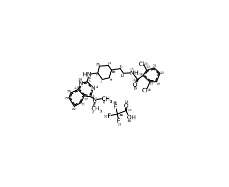 CN(C)c1nc(NC2CCC(CCNC(=O)c3c(Cl)cccc3Cl)CC2)nc2ccccc12.O=C(O)C(F)(F)F